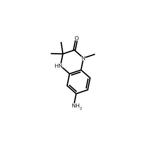 CN1C(=O)C(C)(C)Nc2cc(N)ccc21